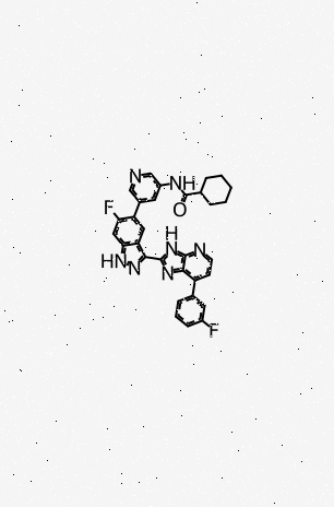 O=C(Nc1cncc(-c2cc3c(-c4nc5c(-c6cccc(F)c6)ccnc5[nH]4)n[nH]c3cc2F)c1)C1CCCCC1